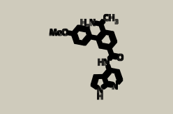 COc1ccc(-c2cc(C(=O)Nc3ccnc4[nH]ccc34)ccc2C(C)N)cc1